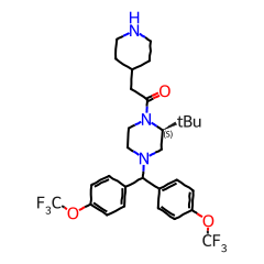 CC(C)(C)[C@H]1CN(C(c2ccc(OC(F)(F)F)cc2)c2ccc(OC(F)(F)F)cc2)CCN1C(=O)CC1CCNCC1